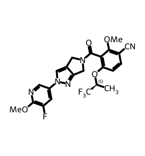 COc1ncc(-n2cc3c(n2)CN(C(=O)c2c(O[C@@H](C)C(F)(F)F)ccc(C#N)c2OC)C3)cc1F